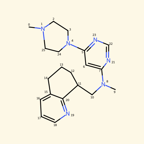 CN1CCN(c2cc(N(C)CC3CCCc4cccnc43)ncn2)CC1